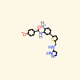 COc1ccc(C(=O)Nc2cc(-c3ccc(CNc4ccn[nH]4)s3)ccc2N)cc1